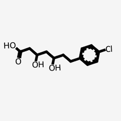 O=C(O)CC(O)CC(O)CCc1ccc(Cl)cc1